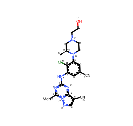 CNc1nc(Nc2cc(C#N)cc(N3CCN(CCO)C[C@@H]3C)c2Cl)nc2c(C#N)cnn12